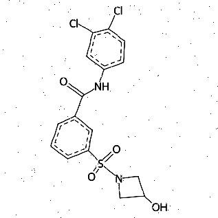 O=C(Nc1ccc(Cl)c(Cl)c1)c1cccc(S(=O)(=O)N2CC(O)C2)c1